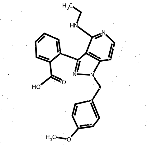 CCNc1nccc2c1c(-c1ccccc1C(=O)O)nn2Cc1ccc(OC)cc1